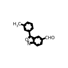 Cc1cccc(-c2onc3ccc(C=O)cc23)c1